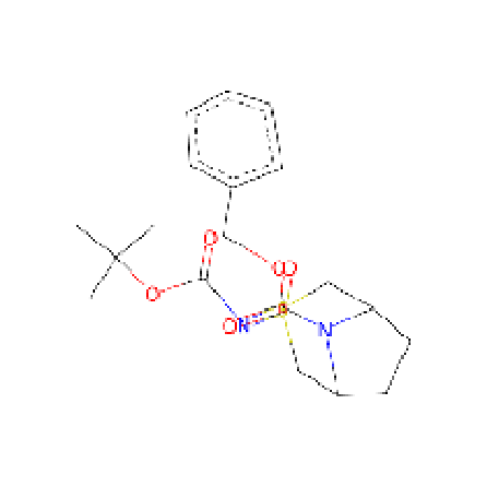 CC(C)(C)OC(=O)N=S1(=O)CC2CCC(C1)N2C(=O)OCc1ccccc1